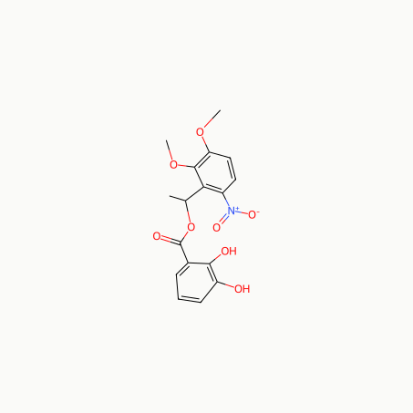 COc1ccc([N+](=O)[O-])c(C(C)OC(=O)c2cccc(O)c2O)c1OC